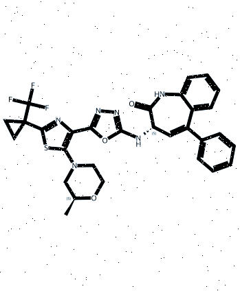 C[C@H]1CN(c2sc(C3(C(F)(F)F)CC3)nc2-c2nnc(N[C@H]3C=C(c4ccccc4)c4ccccc4NC3=O)o2)CCO1